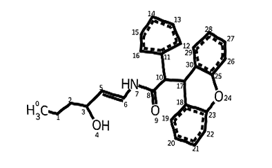 CCCC(O)C=CNC(=O)C(c1ccccc1)C1c2ccccc2Oc2ccccc21